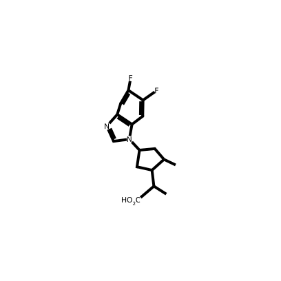 CC1CC(n2cnc3cc(F)c(F)cc32)CC1C(C)C(=O)O